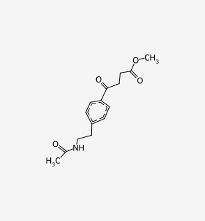 COC(=O)CCC(=O)c1ccc(CCNC(C)=O)cc1